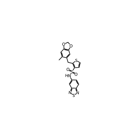 Cc1cc2c(cc1Cc1sccc1S(=O)(=O)Nc1ccc3nsnc3c1)OCO2